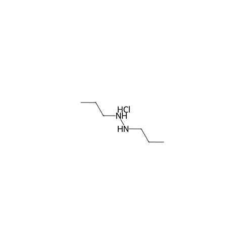 CCCNNCCC.Cl